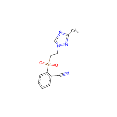 Cc1ncn(CCS(=O)(=O)c2ccccc2C#N)n1